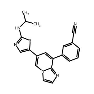 CC(C)Nc1ncc(-c2cc(-c3cccc(C#N)c3)c3nccn3c2)s1